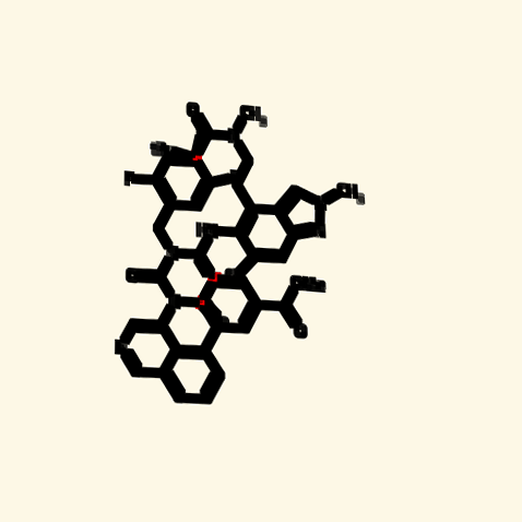 COC(=O)c1cccc(-c2cccc3cncc(-n4c(=O)nc(Nc5c(Cl)cc6nn(C)cc6c5CCN(C)C(=O)OC(C)(C)C)n(Cc5cc(F)c(F)cc5F)c4=O)c23)c1